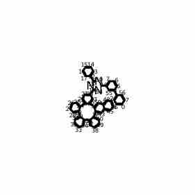 c1ccc(-c2cccc(-c3nc(-c4ccccc4)nc(-c4ccc5c6ccccc6c6ccccc6c6ccccc6c6cc7ccccc7cc6c5c4)n3)c2)cc1